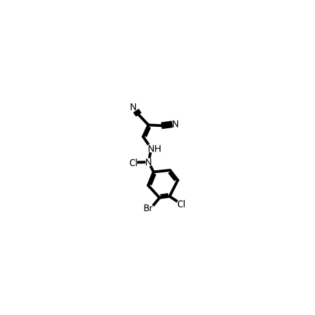 N#CC(C#N)=CNN(Cl)c1ccc(Cl)c(Br)c1